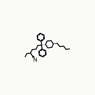 CCCCC[C@H]1CC[C@H](C(CCCC(C#N)CC)(c2ccccc2)c2ccccc2)CC1